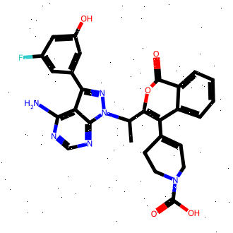 CC(c1oc(=O)c2ccccc2c1C1=CCN(C(=O)O)CC1)n1nc(-c2cc(O)cc(F)c2)c2c(N)ncnc21